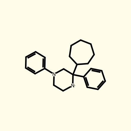 c1ccc(N2CC[N]C(c3ccccc3)(C3CCCCCC3)C2)cc1